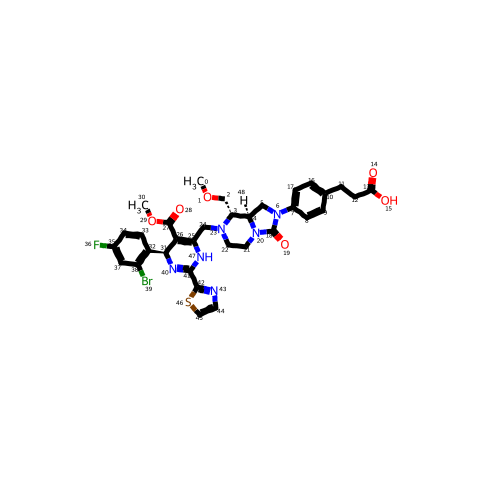 COC[C@@H]1[C@H]2CN(c3ccc(CCC(=O)O)cc3)C(=O)N2CCN1CC1=C(C(=O)OC)[C@H](c2ccc(F)cc2Br)N=C(c2nccs2)N1